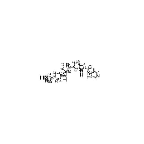 O=C(Nc1ccncc1)c1cc2ccc(C3=NCCC(Nc4ccc(-c5cn[nH]c5)cc4)=N3)cc2[nH]1